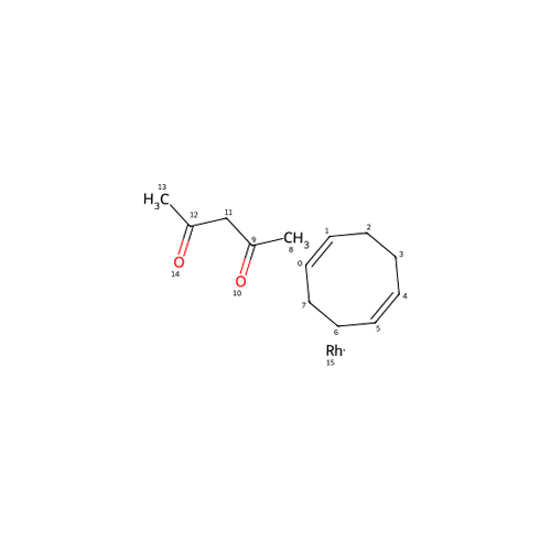 C1=CCCC=CCC1.CC(=O)CC(C)=O.[Rh]